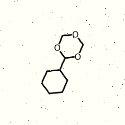 C1CCC(C2OCOCO2)CC1